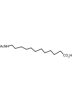 CC(=O)NCCCCCCCCCCCC(=O)O